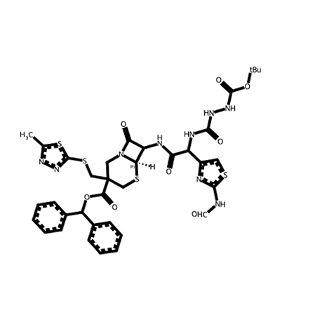 Cc1nnc(SCC2(C(=O)OC(c3ccccc3)c3ccccc3)CS[C@@H]3C(NC(=O)C(NC(=O)NNC(=O)OC(C)(C)C)c4csc(NC=O)n4)C(=O)N3C2)s1